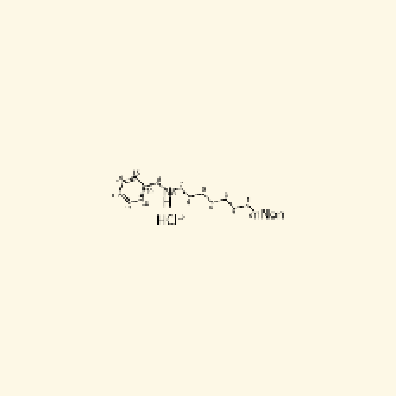 CCCCCCCCCCCCCCCCNCc1ccccc1.Cl